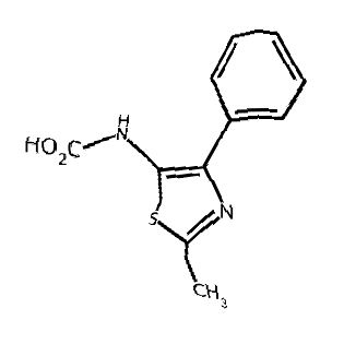 Cc1nc(-c2ccccc2)c(NC(=O)O)s1